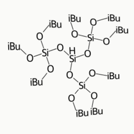 CCC(C)O[Si](OC(C)CC)(OC(C)CC)O[SiH](O[Si](OC(C)CC)(OC(C)CC)OC(C)CC)O[Si](OC(C)CC)(OC(C)CC)OC(C)CC